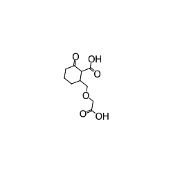 O=C(O)COCC1CCCC(=O)C1C(=O)O